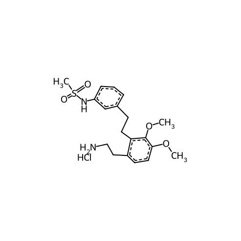 COc1ccc(CCN)c(CCc2cccc(NS(C)(=O)=O)c2)c1OC.Cl